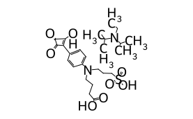 CCN(C(C)C)C(C)C.O=C(O)CCCN(CCCS(=O)(=O)O)c1ccc(-c2c(O)c(=O)c2=O)cc1